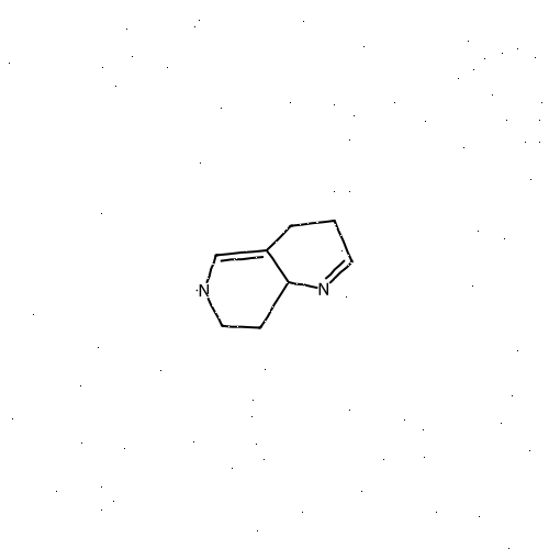 C1=NC2CC[N]C=C2CC1